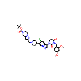 COc1ccc(CN2C(=O)CCN(c3cnn4cc(C5CCN(Cc6cc7n(n6)CCN(C(=O)OC(C)(C)C)C7)CC5)c(F)cc34)C2=O)c(OC)c1